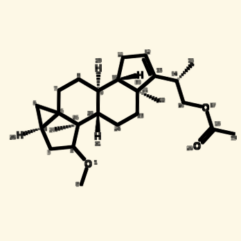 COC1C[C@H]2CC23CC[C@H]2[C@@H]4CC=C([C@H](C)COC(C)=O)[C@@]4(C)CC[C@@H]2[C@@]13C